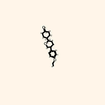 CCOc1ccc(C2CCC(C3CCC(=O)CC3)OC2)cc1